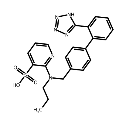 CCCN(Cc1ccc(-c2ccccc2-c2nnn[nH]2)cc1)c1ncccc1S(=O)(=O)O